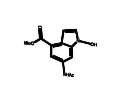 COC(=O)c1cc(NC(C)=O)cc2c1ccn2O